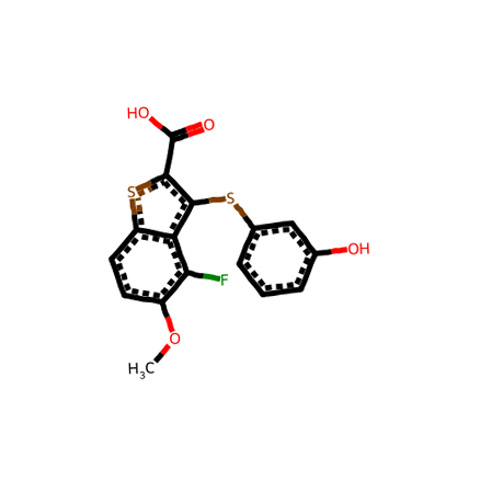 COc1ccc2sc(C(=O)O)c(Sc3cccc(O)c3)c2c1F